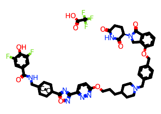 O=C(O)C(F)(F)F.O=C1CC[C@@H](N2Cc3c(OCc4ccc(CN5CCC(CCCOc6ccc(-c7noc(C89CCC(CNC(=O)c%10cc(F)c(O)c(F)c%10)(CC8)CC9)n7)nn6)CC5)cc4)cccc3C2=O)C(=O)N1